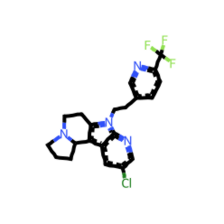 FC(F)(F)c1ccc(CCn2c3c(c4cc(Cl)cnc42)C2CCCN2CC3)cn1